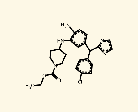 CCOC(=O)N1CCC(Nc2cc(C(c3ccc(Cl)cc3)c3nccs3)ccc2N)CC1